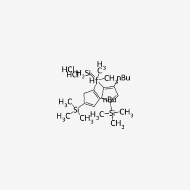 CCCCC1=[C]([Hf]([CH3])([CH3])(=[SiH2])[C]2=C(CCCC)C=C([Si](C)(C)C)C2)CC([Si](C)(C)C)=C1.Cl.Cl